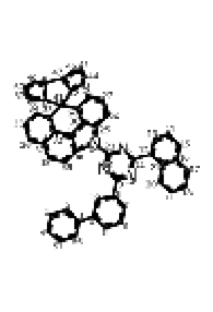 c1ccc(-c2cccc(-c3nc(-c4cccc5ccccc45)nc(-n4c5cccc6c5c5c7c(cccc7ccc54)C64c5ccccc5-c5ccccc54)n3)c2)cc1